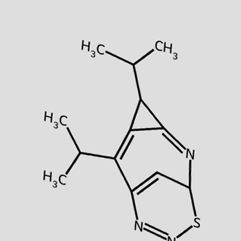 CC(C)C1=C2C(=NC3C=C1N=NS3)C2C(C)C